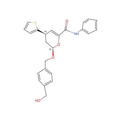 O=C(Nc1ccccc1)C1=C[C@H](c2cccs2)C[C@H](OCc2ccc(CO)cc2)O1